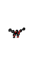 CC(C)(C)c1ccc2c(c1)B1c3cc(C(C)(C)C)ccc3N(c3ccc(-c4ccccc4)cc3)c3cccc(c31)N2c1ccc(-c2ccccc2)cc1